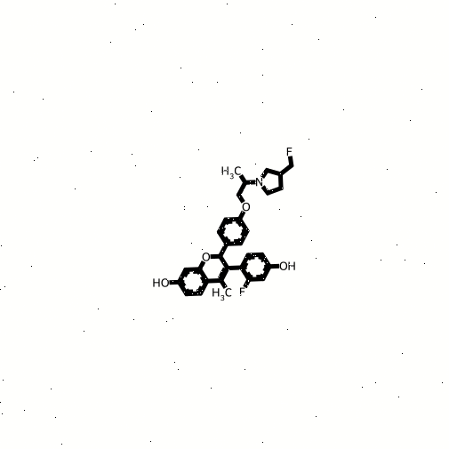 CC1=C(c2ccc(O)cc2F)C(c2ccc(OCC(C)N3CCC(CF)C3)cc2)Oc2cc(O)ccc21